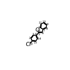 Clc1ccc(-c2cc3ccccc3o2)cc1